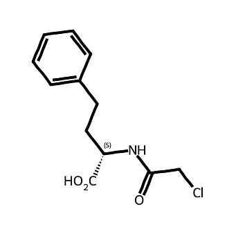 O=C(CCl)N[C@@H](CCc1ccccc1)C(=O)O